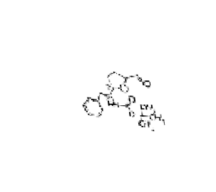 CC(C)(C)OC(=O)N[C@@H](Cc1ccccc1)[C@@H]1CCC(C=O)O1